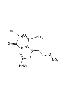 CC(=O)NC1=CC(C(=O)NC#N)=C(C(N)=O)N(CCO[N+](=O)[O-])C1